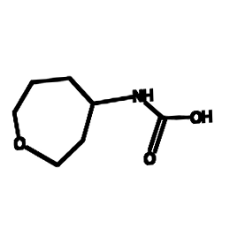 O=C(O)NC1CCCOCC1